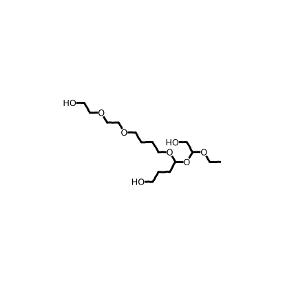 CCOC(CO)OC(CCCO)OCCCCOCCOCCO